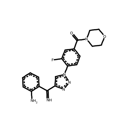 N=C(c1cn(-c2ccc(C(=O)N3CCOCC3)cc2F)nn1)c1ccccc1N